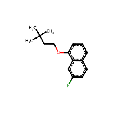 CC(C)(C)CCOc1cccc2ccc(F)cc12